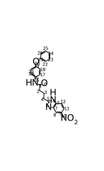 O=C(CCCc1nc2cc([N+](=O)[O-])ccc2[nH]1)Nc1ccc(Oc2ccccc2)cc1